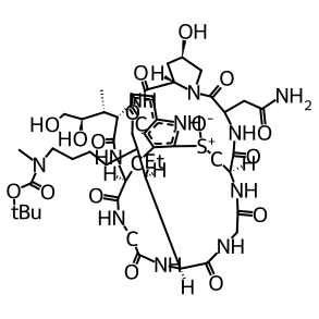 CC[C@@H]1C(CCCCN(C)C(=O)OC(C)(C)C)COc2ccc3c4c([nH]c3c2)[S+]([O-])C[C@@H]2NC(=O)CNC(=O)[C@H]1NC(=O)CNC(=O)[C@H](C4)NC(=O)[C@H]([C@@H](C)[C@@H](O)CO)NC(=O)[C@@H]1C[C@@H](O)CN1C(=O)C(CC(N)=O)NC2=O